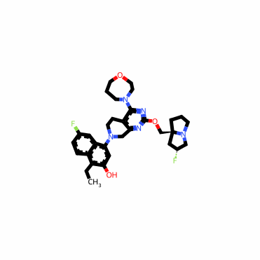 CCc1c(O)cc(N2CCc3c(nc(OC[C@@]45CCCN4C[C@H](F)C5)nc3N3CCCOCC3)C2)c2cc(F)ccc12